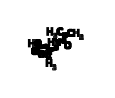 C=C(C)C(=O)NCC(C)CP(=O)(O)O